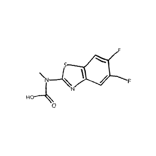 CN(C(=O)O)c1nc2cc(F)c(F)cc2s1